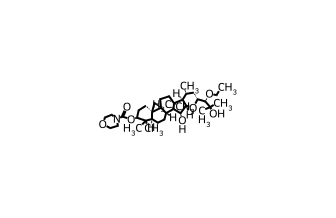 CCO[C@@H]([C@H]1C[C@@H](C)[C@H]2[C@H](O1)[C@H](O)[C@@]1(C)[C@@H]3CC[C@H]4C(C)(C)[C@@H](OC(=O)N5CCOCC5)CC[C@@]45C[C@@]35CC[C@]21C)C(C)(C)O